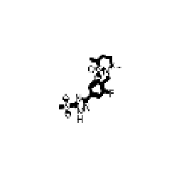 CC1CC[C@H](C)N(Cc2ccc(-c3n[nH]c(S(C)(=O)=O)n3)cc2F)S1(=O)=O